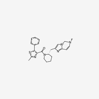 Cc1nc(C(=O)N2CCCC[C@H]2CC2=C[N+]3CN(F)C=CC3=N2)c(-c2ccccc2)s1